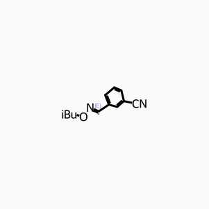 CCC(C)O/N=[C]/c1cccc(C#N)c1